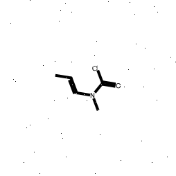 CC=CN(C)C(=O)Cl